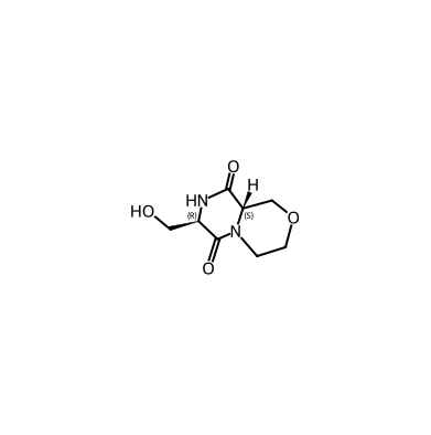 O=C1N[C@H](CO)C(=O)N2CCOC[C@@H]12